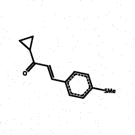 CSc1ccc(C=CC(=O)C2CC2)cc1